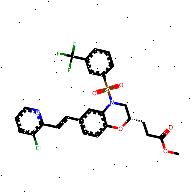 COC(=O)CC[C@H]1CN(S(=O)(=O)c2cccc(C(F)(F)F)c2)c2cc(/C=C/c3ncccc3Cl)ccc2O1